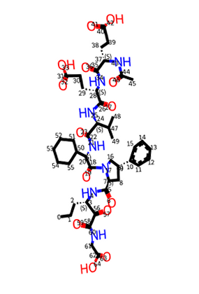 CCC[C@H](NC(=O)[C@@H]1C[C@@H](c2ccccc2)CN1C(=O)[C@@H](NC(=O)[C@@H](NC(=O)[C@H](CCC(=O)O)NC(=O)[C@H](CCC(=O)O)NC(C)=O)C(C)C)C1CCCCC1)C(=O)C(=O)NCC(=O)O